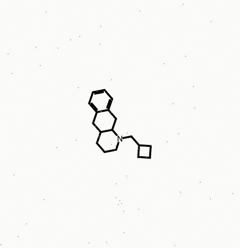 c1ccc2c(c1)CC1CCCN(CC3CCC3)C1C2